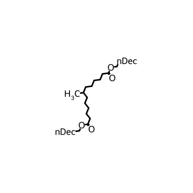 CCCCCCCCCCCOC(=O)CCCCCC(C)CCCCCC(=O)OCCCCCCCCCCC